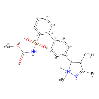 CCC[N+]1(C)N=C(CC)C(C(=O)O)=C1c1ccc(-c2ccccc2S(=O)(=O)NC(=O)OC(C)(C)C)cc1